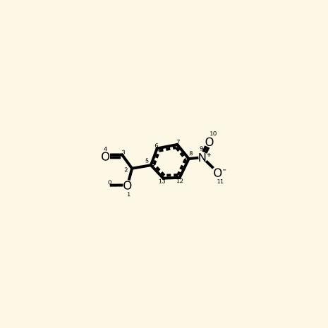 COC(C=O)c1ccc([N+](=O)[O-])cc1